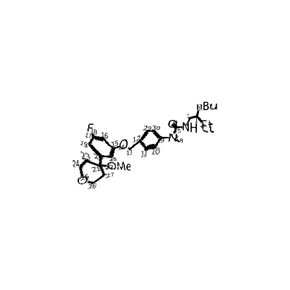 CCCCC(CC)CNC(=O)N(C)c1ccc(COc2cc(F)cc(C3(OC)CCOCC3)c2)cc1